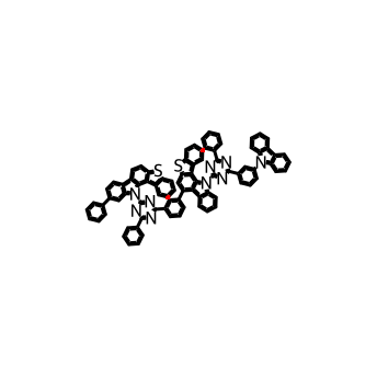 c1ccc(-c2ccc3c4ccc5sc6ccccc6c5c4n(-c4nc(-c5ccccc5)nc(-c5cccc(-c6cc7sc8ccccc8c7c7c6c6ccccc6n7-c6nc(-c7ccccc7)nc(-c7cccc(-n8c9ccccc9c9ccccc98)c7)n6)c5)n4)c3c2)cc1